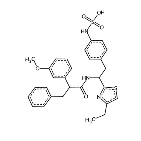 CCc1csc(C(Cc2ccc(NS(=O)(=O)O)cc2)NC(=O)C(Cc2ccccc2)c2cccc(OC)c2)n1